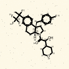 CC(F)(c1ccc2c(c1)CC[C@H]1N(C(=O)C(O)C3CCOCC3)CC[C@@]21Cc1ccc(F)cc1)C(F)(F)F